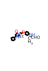 CCc1nc(-c2ccccc2)cc(=O)n1CCOc1ccc(NC(C)C=O)cc1